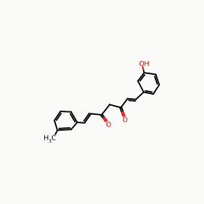 Cc1cccc(/C=C/C(=O)CC(=O)/C=C/c2cccc(O)c2)c1